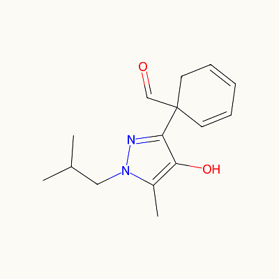 Cc1c(O)c(C2(C=O)C=CC=CC2)nn1CC(C)C